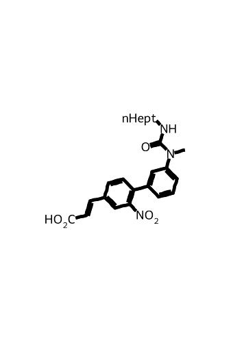 CCCCCCCNC(=O)N(C)c1cccc(-c2ccc(/C=C/C(=O)O)cc2[N+](=O)[O-])c1